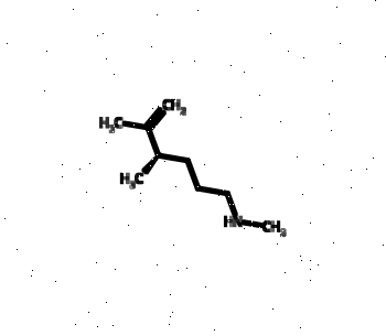 C=C(C)[C@H](C)CCCNC